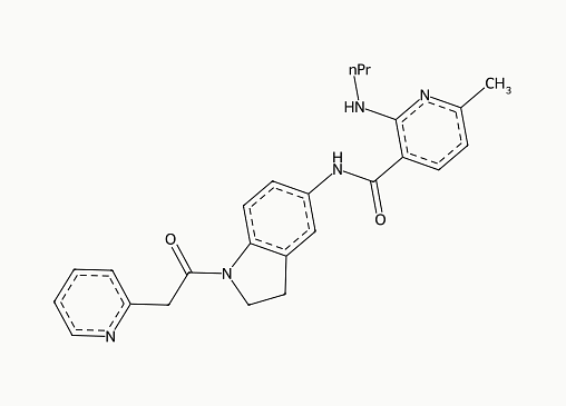 CCCNc1nc(C)ccc1C(=O)Nc1ccc2c(c1)CCN2C(=O)Cc1ccccn1